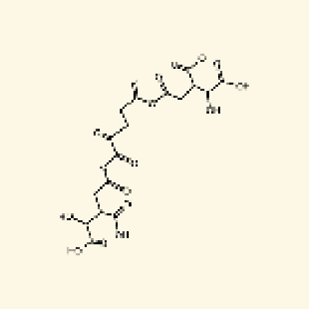 O=C(CCC(=O)C(=O)OC(=O)CC(C(=O)O)C(O)C(=O)O)OC(=O)CC(C(=O)O)C(O)C(=O)O